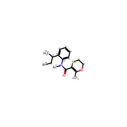 CC(=O)N(C(=O)C1=C(C(F)(F)F)OCCS1)c1ccccc1C(C)CC(C)C